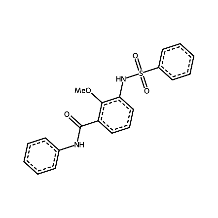 COc1c(NS(=O)(=O)c2ccccc2)cccc1C(=O)Nc1ccccc1